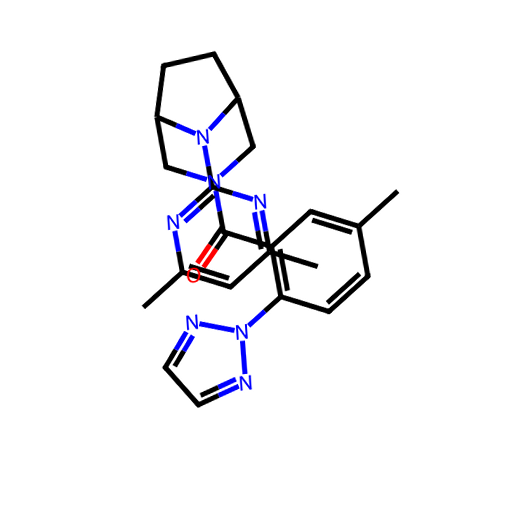 Cc1ccc(-n2nccn2)c(C(=O)N2CC3CCC(C2)N3c2nc(C)cc(C)n2)c1